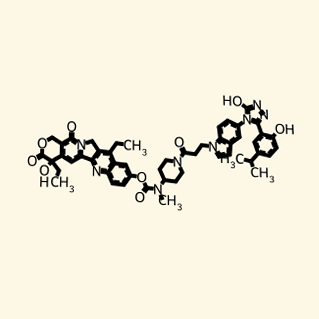 CCc1c2c(nc3ccc(OC(=O)N(C)C4CCN(C(=O)CCn5ccc6cc(-n7c(O)nnc7-c7cc(C(C)C)ccc7O)ccc65)CC4)cc13)-c1cc3c(c(=O)n1C2)COC(=O)C3(O)CC